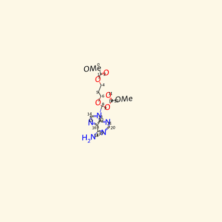 COC(=O)OCCCOC(OC(=O)OC)n1cnc2c(N)ncnc21